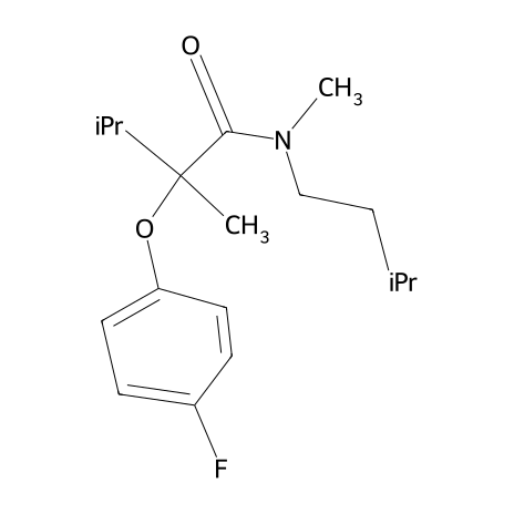 CC(C)CCN(C)C(=O)C(C)(Oc1ccc(F)cc1)C(C)C